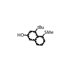 CSc1cccc2cc(O)cc(C(C)(C)C)c12